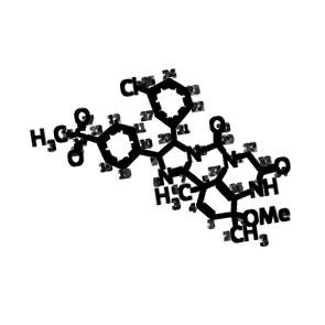 COC1(C)C=CC2(C)C3=NC(c4ccc(S(C)(=O)=O)cc4)C(c4cccc(Cl)c4)N3C(=O)N3CC(=O)NC1=C32